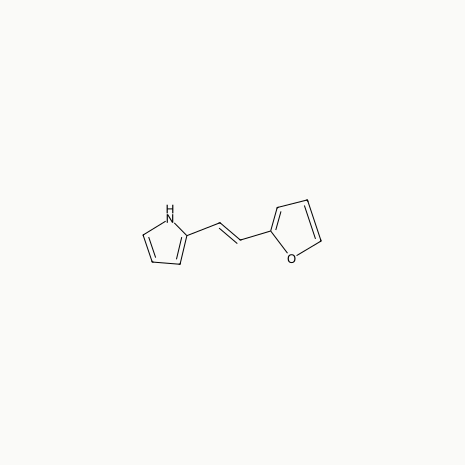 C(=Cc1ccco1)c1ccc[nH]1